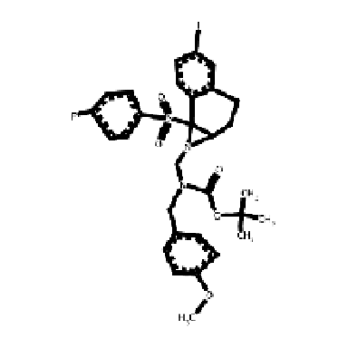 COc1ccc(CN(CN2C3CCc4cc(I)ccc4C32S(=O)(=O)c2ccc(F)cc2)C(=O)OC(C)(C)C)cc1